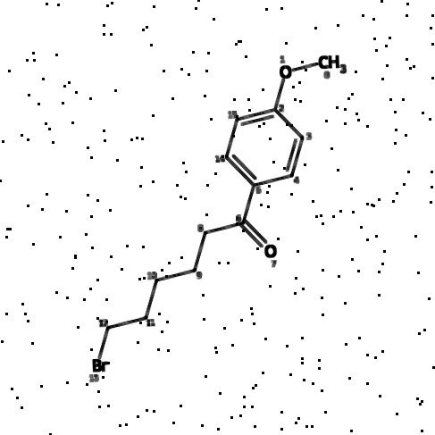 COc1ccc(C(=O)CCCCCBr)cc1